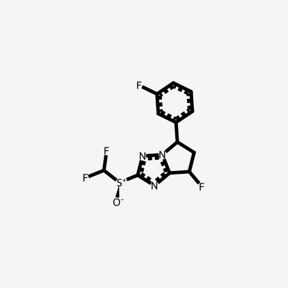 [O-][S@+](c1nc2n(n1)C(c1cccc(F)c1)CC2F)C(F)F